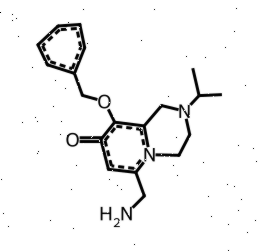 CC(C)N1CCn2c(CN)cc(=O)c(OCc3ccccc3)c2C1